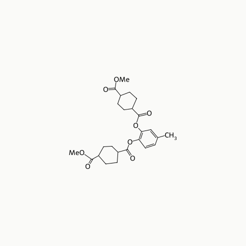 COC(=O)C1CCC(C(=O)Oc2ccc(C)cc2OC(=O)C2CCC(C(=O)OC)CC2)CC1